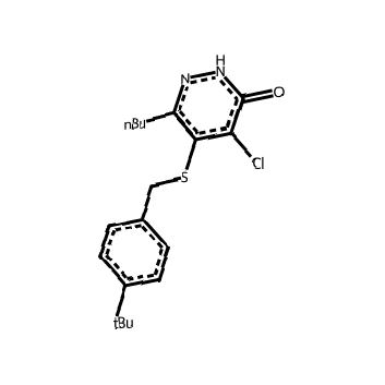 CCCCc1n[nH]c(=O)c(Cl)c1SCc1ccc(C(C)(C)C)cc1